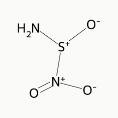 N[S+]([O-])[N+](=O)[O-]